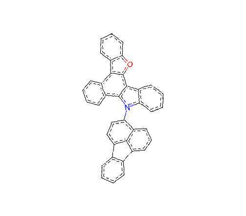 c1ccc2c(c1)-c1cccc3c(-n4c5ccccc5c5c6oc7ccccc7c6c6ccccc6c54)ccc-2c13